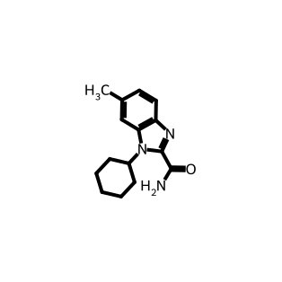 Cc1ccc2nc(C(N)=O)n(C3CCCCC3)c2c1